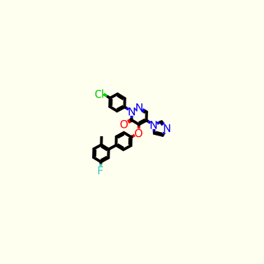 Cc1ccc(F)cc1-c1ccc(Oc2c(-n3ccnc3)cnn(-c3ccc(Cl)cc3)c2=O)cc1